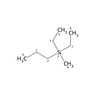 CCC[Si](C)(CC)CC